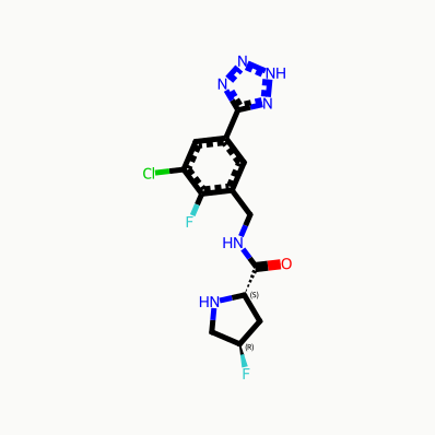 O=C(NCc1cc(-c2nn[nH]n2)cc(Cl)c1F)[C@@H]1C[C@@H](F)CN1